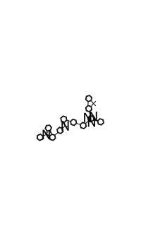 CN(c1ccc(-c2cccc3c2c2ccccc2n3-c2ccccc2)cc1)c1ccccc1-c1ccc(-c2cccc(-c3nc(-c4ccccc4)nc(-c4ccc5c(c4)C(C)(C)c4ccccc4-5)n3)c2)cc1